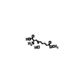 COC(=O)CCCCSCC(N)C(=O)O.Cl